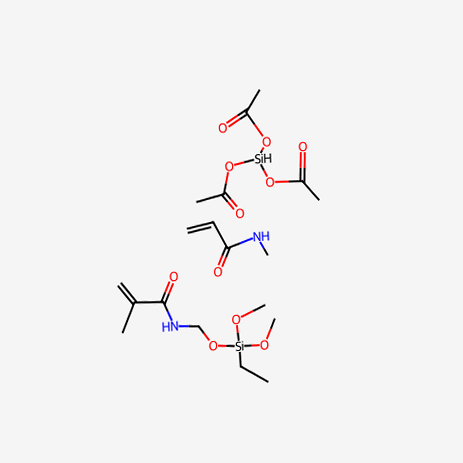 C=C(C)C(=O)NCO[Si](CC)(OC)OC.C=CC(=O)NC.CC(=O)O[SiH](OC(C)=O)OC(C)=O